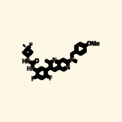 COc1ccc(CN(C)c2cc3nc(C)c(-c4cc(NC(=O)N[C@H]5C[C@](C)(F)C5)c(F)cc4F)cc3cn2)cc1